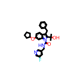 CC(C)(O)c1c(Cc2ccccc2)c2ccc(OC3CCCC3)cc2n1C(=O)NCc1cncc(F)c1